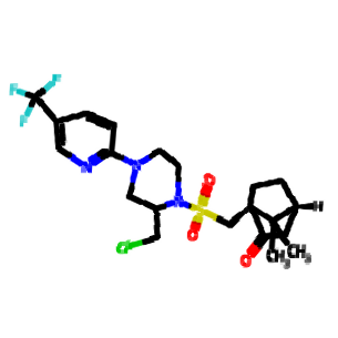 CC1(C)[C@@H]2CC[C@@]1(CS(=O)(=O)N1CCN(c3ccc(C(F)(F)F)cn3)CC1CCl)C(=O)C2